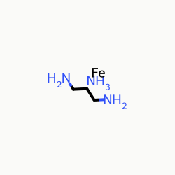 N.NCCCN.[Fe]